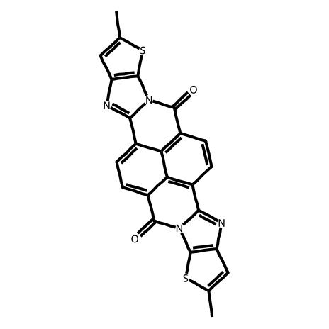 Cc1cc2nc3c4ccc5c(=O)n6c(nc7cc(C)sc76)c6ccc(c(=O)n3c2s1)c4c56